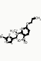 C=CCOc1ccc([N+](=O)[O-])c(N(C)Cc2cnc(Br)s2)n1